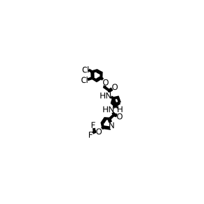 O=C(COc1ccc(Cl)c(Cl)c1)NC12CC(C1)[C@H](NC(=O)c1ccc(OC(F)F)cn1)C2